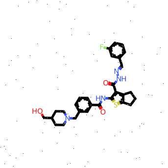 O=C(Nc1sc2c(c1C(=O)NN=Cc1cccc(F)c1)CCC2)c1cccc(CN2CCC(CO)CC2)c1